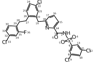 O=C(NS(=O)(=O)c1cc(Cl)cc(Cl)c1)c1cccc(Cc2cc(Cl)ccc2CCc2ccc(Cl)cc2F)n1